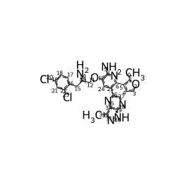 Cc1occc1-c1nc(N)c(OC[C@H](N)Cc2ccc(Cl)cc2Cl)cc1-c1cnc2[nH]nc(C)c2n1